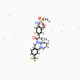 CC(C(=O)NCc1ccc(C(F)(F)F)cc1N1CCCCC1)c1ccc(NS(C)(=O)=O)c(Br)c1